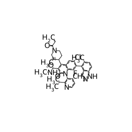 C=CC(=O)N1CCC(c2c(C(=O)NC)c(=O)n(-c3c(C)ccnc3C(C)C)c3c(F)c(-c4c(C)ccc5[nH]ncc45)c(Cl)cc23)[C@@H](C)C1